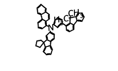 CC1(C)c2ccccc2-c2cccc(-c3cccc(N(c4ccc5c(c4)C4(CCCC4)c4ccccc4-5)c4cccc5c4ccc4ccccc45)c3)c21